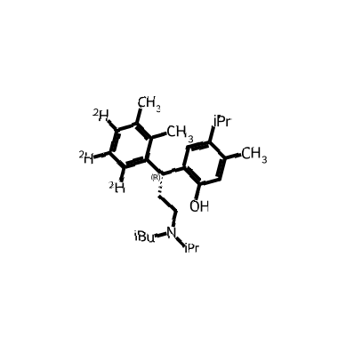 [2H]c1c([2H])c(C)c(C)c([C@@H](CCN(C(C)C)C(C)CC)c2cc(C(C)C)c(C)cc2O)c1[2H]